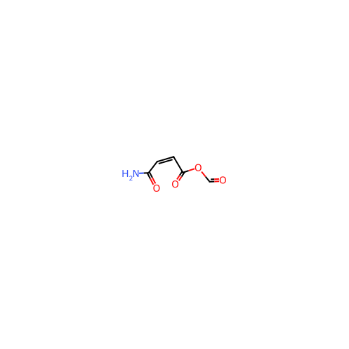 NC(=O)/C=C\C(=O)OC=O